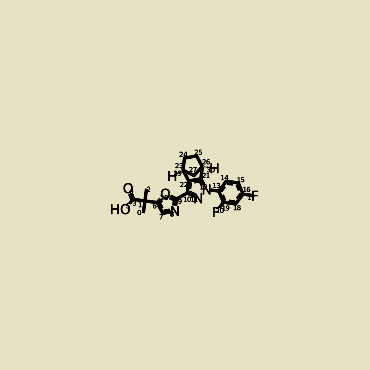 CC(C)(C(=O)O)c1cnc(-c2nn(-c3ccc(F)cc3F)c3c2[C@H]2CC[C@@H]3C2)o1